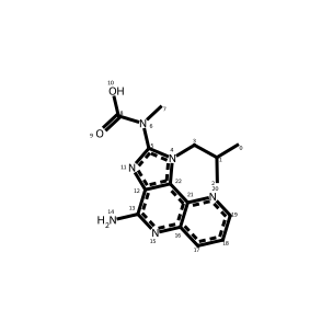 CC(C)Cn1c(N(C)C(=O)O)nc2c(N)nc3cccnc3c21